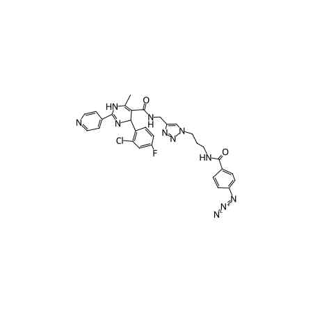 CC1=C(C(=O)NCc2cn(CCCNC(=O)c3ccc(N=[N+]=[N-])cc3)nn2)C(c2ccc(F)cc2Cl)N=C(c2ccncc2)N1